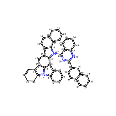 C1=Cc2c(n3c4ccccc4c4c5c(cc2c43)c2ccc3ccccc3c2n5-c2nc(-c3ccc4ccccc4c3)nc3ccccc23)CC1